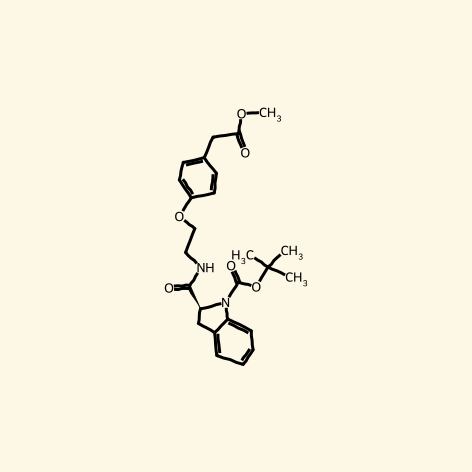 COC(=O)Cc1ccc(OCCNC(=O)[C@@H]2Cc3ccccc3N2C(=O)OC(C)(C)C)cc1